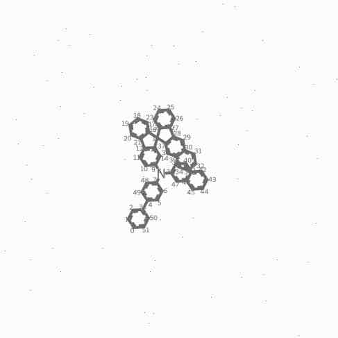 c1ccc(-c2ccc(N(c3ccc4c(c3)C3(c5ccccc5-4)c4ccccc4-c4cc5ccccc5cc43)c3ccc4ccccc4c3)cc2)cc1